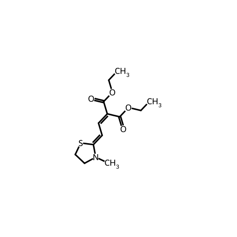 CCOC(=O)C(=C/C=C1\SCCN1C)C(=O)OCC